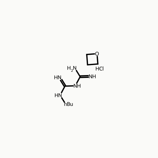 C1COC1.CCCCNC(=N)NC(=N)N.Cl